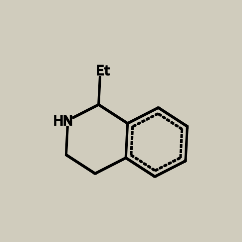 [CH2]CC1NCCc2ccccc21